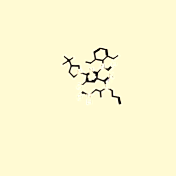 C=CCCN(/C(=N/C)c1cc(Cl)c(N2CCC(C(C)(C)C)C2)nc1N(C=O)C1C(CC)=CC=CC1CC)C(C)CNC=O